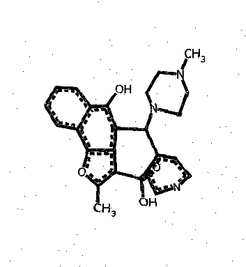 Cc1oc2c(c1C(=O)O)c(C(c1ccncc1)N1CCN(C)CC1)c(O)c1ccccc12